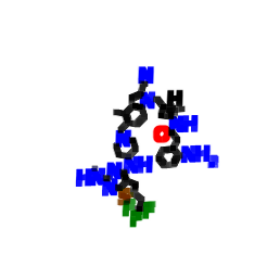 CNc1nc(NC2CCN(Cc3ccc4c(cc(C#N)n4CC45CC(NC(=O)Cc6ccccc6N)(C4)[C@H]5C)c3C)CC2)c2cc(CC(F)(F)F)sc2n1